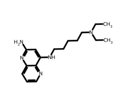 CCN(CC)CCCCCNc1cc(N)nc2cccnc12